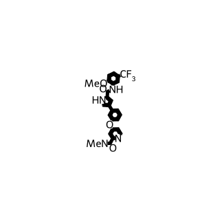 CNC(=O)c1cc(Oc2cccc(-c3c[nH]c(C(=O)Nc4cc(C(F)(F)F)ccc4OC)c3)c2)ccn1